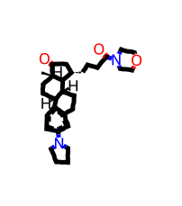 C[C@]12CC[C@@H]3c4ccc(N5CCCC5)cc4CC[C@H]3[C@@H]1[C@@H](CCCC(=O)N1CCOCC1)CC2=O